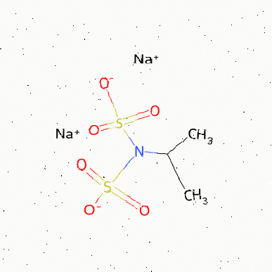 CC(C)N(S(=O)(=O)[O-])S(=O)(=O)[O-].[Na+].[Na+]